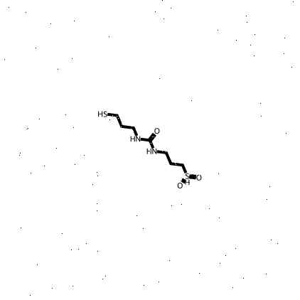 O=C(NCCCS)NCCC[SH](=O)=O